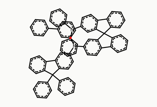 c1ccc(-c2cccc(N(c3ccc4c(c3)-c3ccccc3C4(c3ccccc3)c3ccccc3)c3ccc4c(c3)C3(c5ccccc5-c5ccc(N(c6ccccc6)c6ccccc6)cc53)c3ccccc3-4)c2)cc1